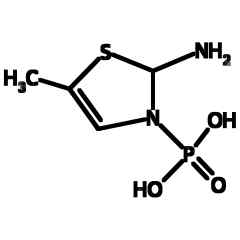 CC1=CN(P(=O)(O)O)C(N)S1